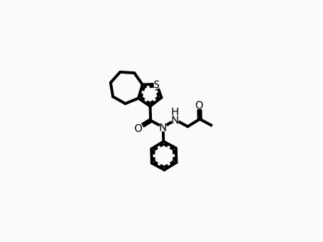 CC(=O)CNN(C(=O)c1csc2c1CCCCC2)c1ccccc1